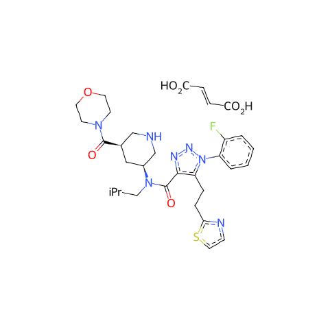 CC(C)CN(C(=O)c1nnn(-c2ccccc2F)c1CCc1nccs1)[C@@H]1CNC[C@H](C(=O)N2CCOCC2)C1.O=C(O)/C=C/C(=O)O